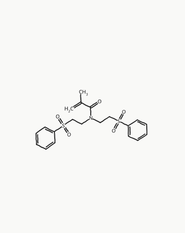 C=C(C)C(=O)N(CCS(=O)(=O)c1ccccc1)CCS(=O)(=O)c1ccccc1